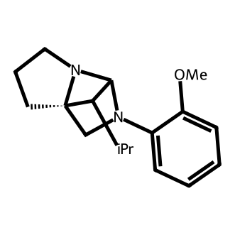 COc1ccccc1N1C[C@@]23CCCN2C1C3C(C)C